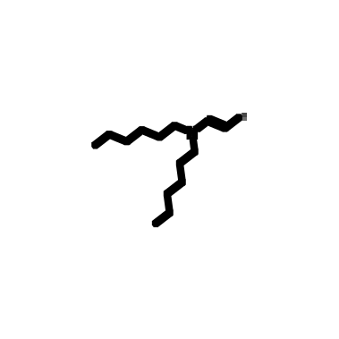 [CH]C=CN(CCCCCC)CCCCCC